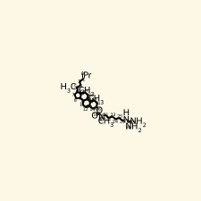 CC(C)CCCC(C)C1CCC2C3CC=C4CC(OC(=O)N(C)CCCCCCNC(N)N)CCC4(C)C3CCC12C